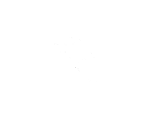 COc1cnc(NC2CCN(C(C)=O)CC2)cc1C(=O)N1CC[C@H](N2CCc3ccccc3C2)[C@@H](O)C1